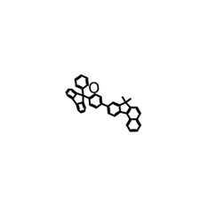 CC1(C)c2cc(-c3ccc4c(c3)Oc3ccccc3C43c4ccccc4-c4ccccc43)ccc2-c2c1ccc1ccccc21